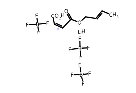 CC=CCOC(=O)/C=C\C(=O)O.F[B-](F)(F)F.F[B-](F)(F)F.F[B-](F)(F)F.[LiH]